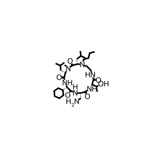 CCCCN1CCNC(=O)[C@H]([C@H](C)O)NC(=O)[C@H](CN)NC(=O)[C@H](C2CCCCC2)NC(=O)[C@H](CC(C)C)N(C)C(=O)[C@@H]1CC(C)C